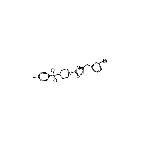 Cc1ccc(S(=O)(=O)C2CCN(c3nc(Cc4cccc(Br)c4)cs3)CC2)cc1